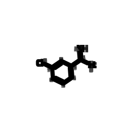 CCC(=N)c1cccc(Cl)c1